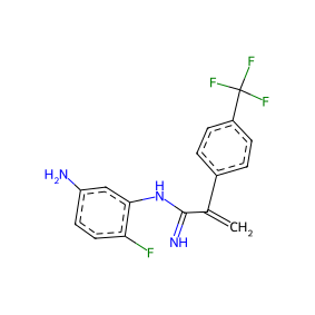 C=C(C(=N)Nc1cc(N)ccc1F)c1ccc(C(F)(F)F)cc1